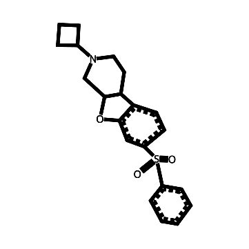 O=S(=O)(c1ccccc1)c1ccc2c(c1)OC1CN(C3CCC3)CCC21